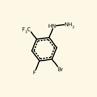 NNc1cc(Br)c(F)cc1C(F)(F)F